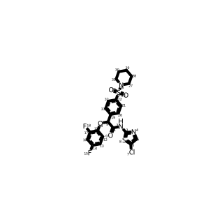 O=C(Nc1n[c]c(Cl)s1)C(Oc1ccc(F)cc1F)c1ccc(S(=O)(=O)N2CCCCC2)cc1